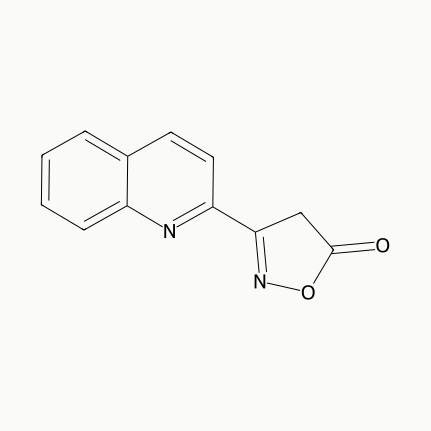 O=C1CC(c2ccc3ccccc3n2)=NO1